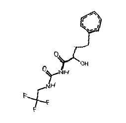 O=C(NCC(F)(F)F)NC(=O)C(O)[CH]Cc1ccccc1